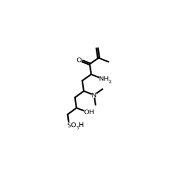 C=C(C)C(=O)C(N)CC(CC(O)CS(=O)(=O)O)N(C)C